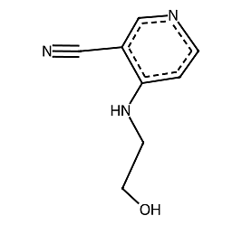 N#Cc1cnccc1NCCO